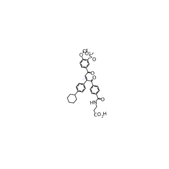 CS(=O)(=O)c1cc(C(=O)/C=C(\C(=O)c2ccc(C(=O)NCCC(=O)O)cc2)c2ccc(C3CCCCC3)cc2)ccc1OC(F)(F)F